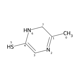 CC1=NC=C(S)NC1